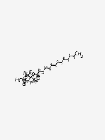 CCCCCCCCCCCCCC(=O)OC(CS(=O)(=O)O)(C(F)(F)F)C(F)(F)F